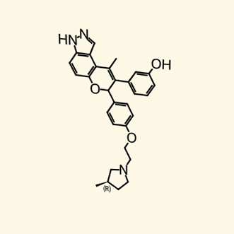 CC1=C(c2cccc(O)c2)C(c2ccc(OCCN3CC[C@@H](C)C3)cc2)Oc2ccc3[nH]ncc3c21